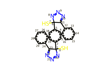 SC1(c2ccc(C3(S)N=NN=C3c3ccccc3)cc2)N=NN=C1c1ccccc1